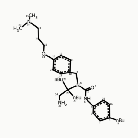 CCCCc1ccc(NC(=O)N(Cc2ccc(OCCCN(C)C)cc2)C(CN)(CCCC)CCCC)cc1